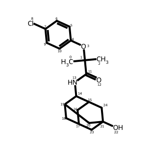 CC(C)(Oc1ccc(Cl)cc1)C(=O)NC1C2CC3CC1CC(O)(C3)C2